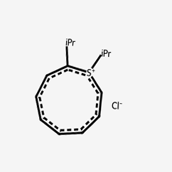 CC(C)c1ccccccc[s+]1C(C)C.[Cl-]